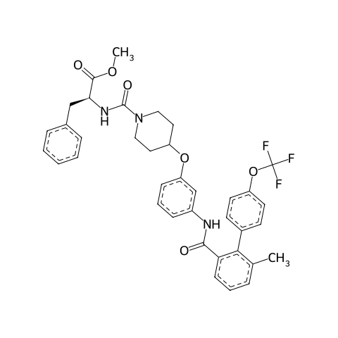 COC(=O)[C@H](Cc1ccccc1)NC(=O)N1CCC(Oc2cccc(NC(=O)c3cccc(C)c3-c3ccc(OC(F)(F)F)cc3)c2)CC1